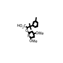 COc1cc(OC)nc(OC(C(=O)O)C(C)(C)c2cccc(C)c2)c1